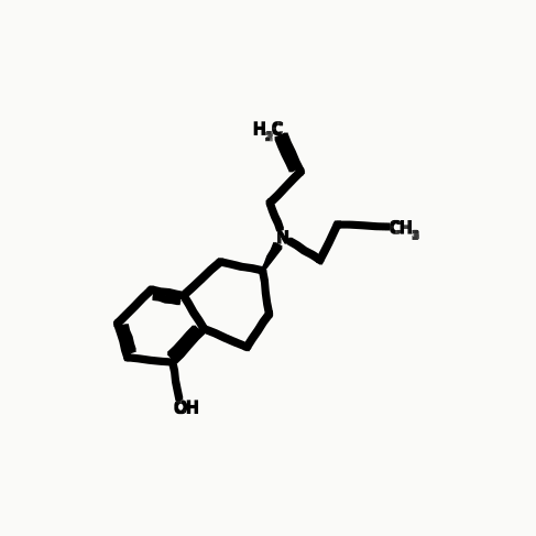 C=CCN(CCC)[C@H]1CCc2c(O)cccc2C1